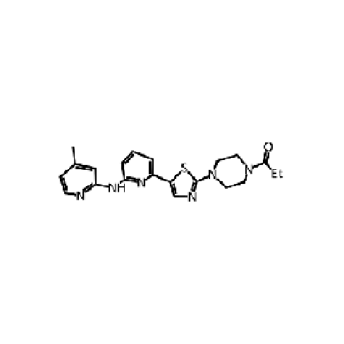 CCC(=O)N1CCN(c2ncc(-c3cccc(Nc4cc(C)ccn4)n3)s2)CC1